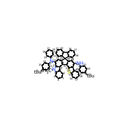 Cn1c2ccccc2c2c3c(cc(N(c4ccccc4)c4ccc(C(C)(C)C)cc4)c21)C1(c2ccccc2-c2ccccc21)c1cc(Nc2ccc(C(C)(C)C)cc2)c2c(sc4ccccc42)c1-3